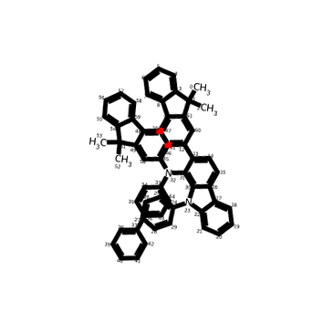 CC1(C)c2ccccc2-c2ccc(-c3ccc4c5ccccc5n(-c5ccccc5)c4c3N(c3ccc(-c4ccccc4)cc3)c3ccc4c(c3)C(C)(C)c3ccccc3-4)cc21